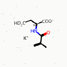 C=C(C)C(=O)N[C@@H](CC(=O)O)C(=O)[O-].[K+]